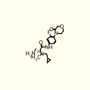 CN(CC1CC1)[C@H](CN)C(=O)Nc1ccc(N2CCOCC2=O)c(F)c1